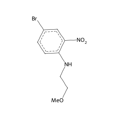 COCCNc1ccc(Br)cc1[N+](=O)[O-]